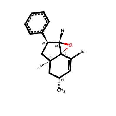 CC(=O)C1=C[C@H](C)C[C@H]2C[C@@H](c3ccccc3)[C@@H]3O[C@]123